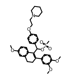 COc1ccc2c(c1)CCC(c1ccc(OC)c(OC)c1)=C2C(OS(C)(=O)=O)c1ccc(OCCN2CCCCC2)cc1